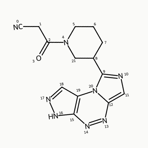 N#CCC(=O)N1CCCC(c2ncc3nnc4[nH]ncc4n23)C1